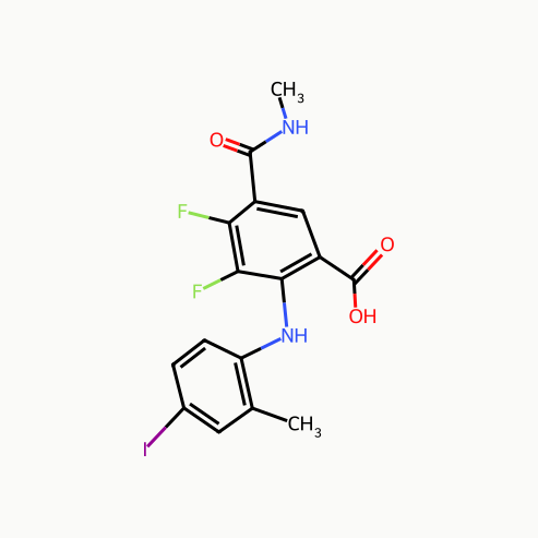 CNC(=O)c1cc(C(=O)O)c(Nc2ccc(I)cc2C)c(F)c1F